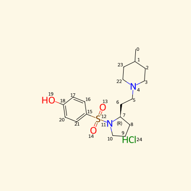 CC1CCN(CC[C@H]2CCCN2S(=O)(=O)c2ccc(O)cc2)CC1.Cl